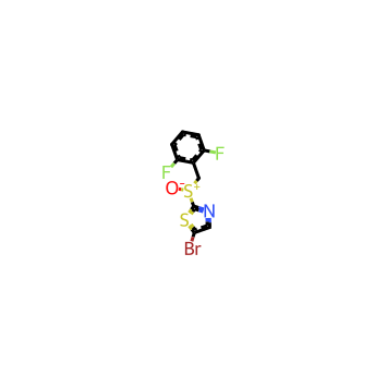 [O-][S+](Cc1c(F)cccc1F)c1ncc(Br)s1